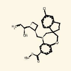 C=C[C@H](O)[C@@H]1CC[C@H]1CN1CC2(CCc3cc(Cl)ccc32)COc2ccc(C(=O)OC(C)(C)C)cc21